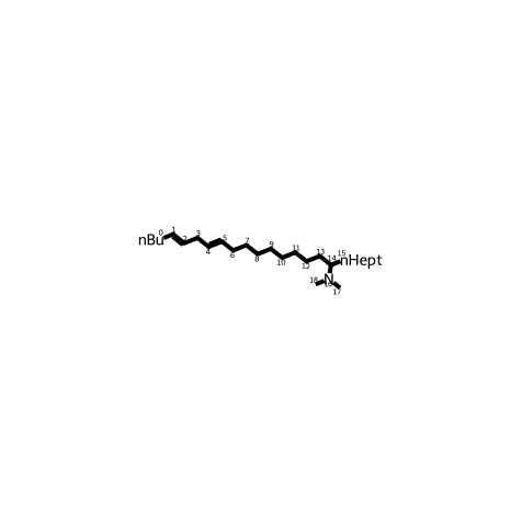 CCCC/C=C/C/C=C/CCCCCCCCC(CCCCCCC)N(C)C